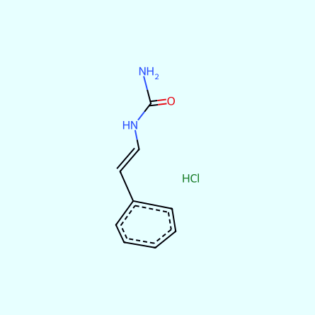 Cl.NC(=O)NC=Cc1ccccc1